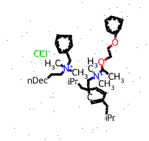 CC(C)CC1=CCC(CC(C)C)(C[N+](C)(C)C(C)OCCOc2ccccc2)C=C1.CCCCCCCCCCCC[N+](C)(C)Cc1ccccc1.[Cl-].[Cl-]